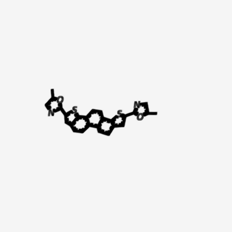 Cc1cnc(-c2cc3ccc4c5ccc6cc(-c7ncc(C)o7)sc6c5ccc4c3s2)o1